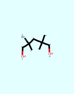 CCC(C)(CO)CC(C)(C)CO